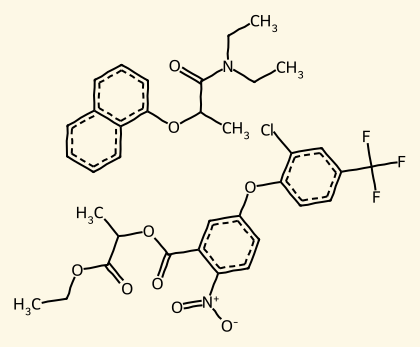 CCN(CC)C(=O)C(C)Oc1cccc2ccccc12.CCOC(=O)C(C)OC(=O)c1cc(Oc2ccc(C(F)(F)F)cc2Cl)ccc1[N+](=O)[O-]